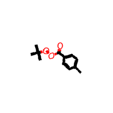 Cc1ccc(C(=O)OOC(C)(C)C)cc1